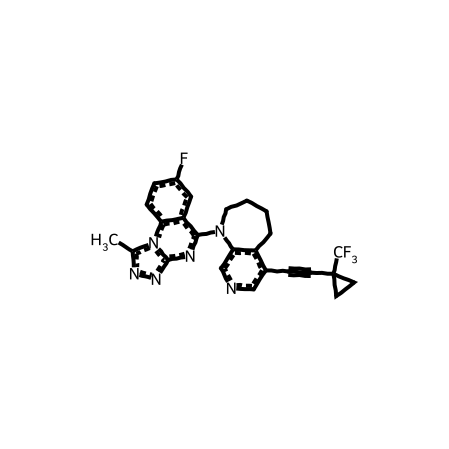 Cc1nnc2nc(N3CCCCc4c(C#CC5(C(F)(F)F)CC5)cncc43)c3cc(F)ccc3n12